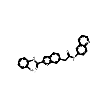 Nc1ccccc1NC(=O)c1cc2ccc(CC(=O)Nc3ccc4ncccc4c3)cc2s1